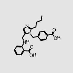 CCCCc1ncc(CNc2ccccc2C(=O)O)n1Cc1ccc(C(=O)O)cc1